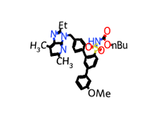 CCCCOC(=O)NS(=O)(=O)c1ccc(-c2cccc(OC)c2)cc1-c1ccc(Cn2c(CC)nc3c(C)cc(C)nc32)cc1